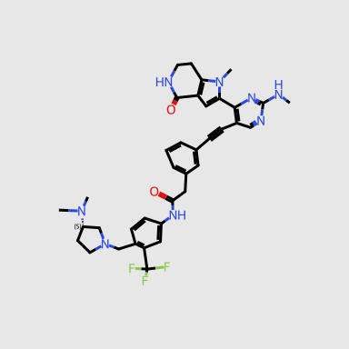 CNc1ncc(C#Cc2cccc(CC(=O)Nc3ccc(CN4CC[C@H](N(C)C)C4)c(C(F)(F)F)c3)c2)c(-c2cc3c(n2C)CCNC3=O)n1